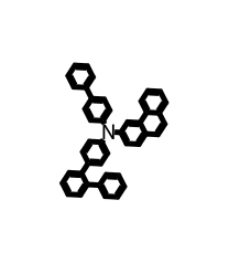 c1ccc(-c2ccc(N(c3ccc(-c4ccccc4-c4ccccc4)cc3)c3ccc4ccc5ccccc5c4c3)cc2)cc1